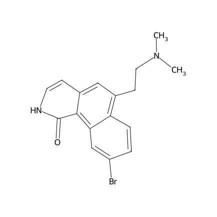 CN(C)CCc1cc2cc[nH]c(=O)c2c2cc(Br)ccc12